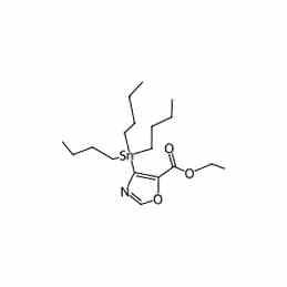 CCC[CH2][Sn]([CH2]CCC)([CH2]CCC)[c]1ncoc1C(=O)OCC